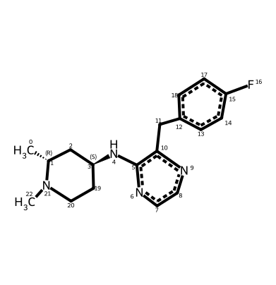 C[C@@H]1C[C@@H](Nc2nccnc2Cc2ccc(F)cc2)CCN1C